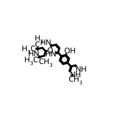 CN/C=C(\C=N)c1ccc(C(=N)/C=C\C(=N)OC2CC(C)(C)NC(C)(C)C2)c(O)c1